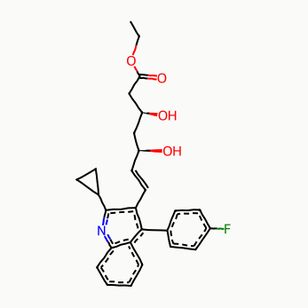 CCOC(=O)C[C@@H](O)C[C@@H](O)/C=C/c1c(C2CC2)nc2ccccc2c1-c1ccc(F)cc1